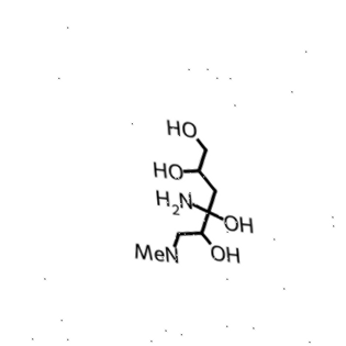 CNCC(O)C(N)(O)CC(O)CO